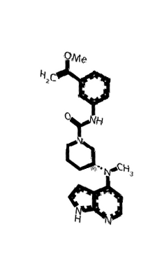 C=C(OC)c1cccc(NC(=O)N2CCC[C@@H](N(C)c3ccnc4[nH]ccc34)C2)c1